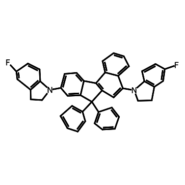 Fc1ccc2c(c1)CCN2c1ccc2c(c1)C(c1ccccc1)(c1ccccc1)c1cc(N3CCc4cc(F)ccc43)c3ccccc3c1-2